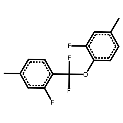 Cc1ccc(OC(F)(F)c2ccc(C)cc2F)c(F)c1